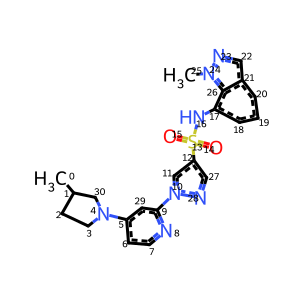 CC1CCN(c2ccnc(-n3cc(S(=O)(=O)Nc4cccc5cnn(C)c45)cn3)c2)C1